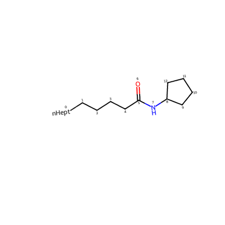 CCCCCCCCCCCC(=O)NC1CCCC1